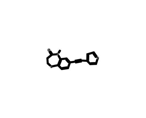 CN1C(=O)CCSc2ccc(C#Cc3ccncc3)cc21